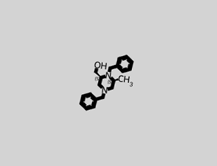 C[C@H]1CN(Cc2ccccc2)C[C@@H](CO)N1Cc1ccccc1